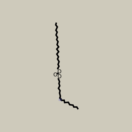 CCCCCCCC/C=C\CCCCCCCCOC(=O)OCCCCCCCCCCCCCCCCCCCC